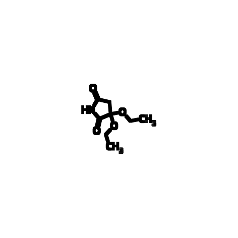 CCOC1(OCC)CC(=O)NC1=O